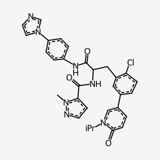 CC(C)n1cc(-c2ccc(Cl)c(CC(NC(=O)c3ccnn3C)C(=O)Nc3ccc(-n4ccnc4)cc3)c2)ccc1=O